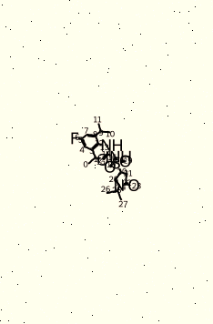 CC(C)c1cc(F)cc(C(C)C)c1NC(=O)NS(=O)(=O)C1CC(=O)N(C(C)C)C1